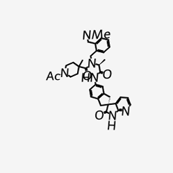 CNCc1ccccc1CN(C(=O)C1(C)CCN(C(C)=O)CC1)[C@@H](C)C(=O)Nc1ccc2c(c1)C[C@@]1(C2)C(=O)Nc2ncccc21